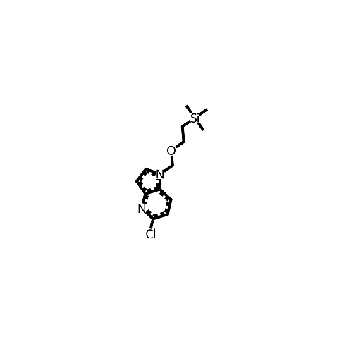 C[Si](C)(C)CCOCn1ccc2nc(Cl)ccc21